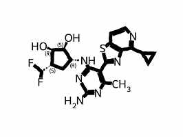 Cc1nc(N)nc(N[C@@H]2C[C@H](C(F)F)[C@@H](O)[C@H]2O)c1-c1nc2c(C3CC3)nccc2s1